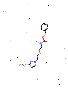 CCOC(=O)c1ccn(CCOCCNC(=O)OCc2ccccc2)n1